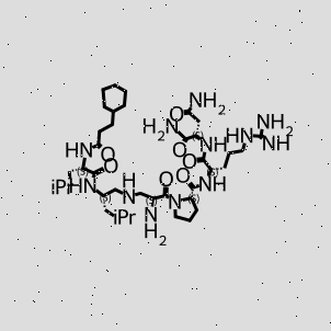 CC(C)C[C@@H](CNC[C@H](N)C(=O)N1CCC[C@H]1C(=O)N[C@@H](CCCNC(=N)N)C(=O)N[C@@H](CC(N)=O)C(N)=O)NC(=O)[C@H](CC(C)C)NC(=O)CCC1CCCCC1